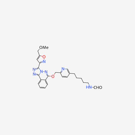 COCc1cc(-c2nnc3c4ccccc4c(OCc4ccc(CCCCCNC=O)cn4)nn23)no1